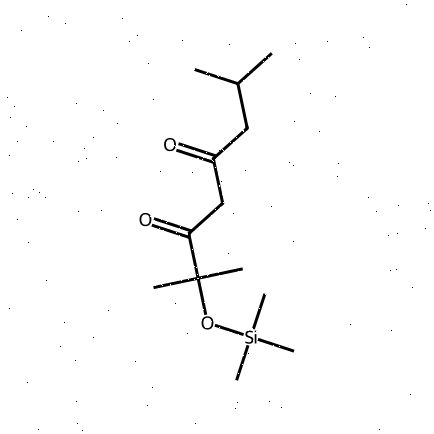 CC(C)CC(=O)CC(=O)C(C)(C)O[Si](C)(C)C